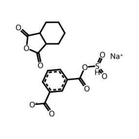 O=C([O-])c1cccc(C(=O)O[SH](=O)=O)c1.O=C1OC(=O)C2CCCCC12.[Na+]